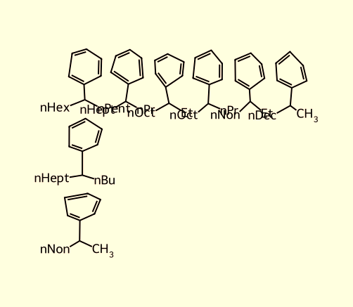 CCCCCCC(CCCCC)c1ccccc1.CCCCCCCC(CCC)c1ccccc1.CCCCCCCC(CCCC)c1ccccc1.CCCCCCCCC(CC)c1ccccc1.CCCCCCCCC(CCC)c1ccccc1.CCCCCCCCCC(C)c1ccccc1.CCCCCCCCCC(CC)c1ccccc1.CCCCCCCCCCC(C)c1ccccc1